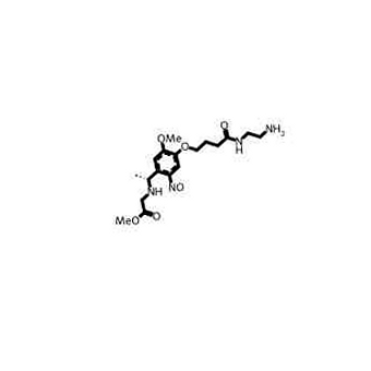 COC(=O)CN[C@H](C)c1cc(OC)c(OCCCC(=O)NCCN)cc1N=O